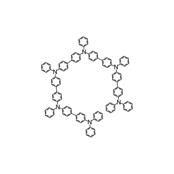 c1ccc(N(c2ccccc2)c2ccc(-c3ccc(N(c4ccccc4)c4ccc(-c5ccc(N(c6ccccc6)c6ccc(-c7ccc(N(c8ccccc8)c8ccc(-c9ccc(N(c%10ccccc%10)c%10ccc(-c%11ccc(N(c%12ccccc%12)c%12ccccc%12)cc%11)cc%10)cc9)cc8)cc7)cc6)cc5)cc4)cc3)cc2)cc1